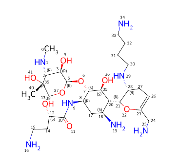 CN[C@@H]1[C@@H](O)[C@@H](O[C@H]2[C@H](NC(=O)[C@@H](O)CCN)C[C@H](N)C([C@H]3OC(CN)=CC[C@H]3NCCCCN)[C@@H]2O)OC[C@]1(C)O